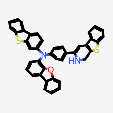 C1=C(c2ccc(N(c3ccc4c(c3)sc3ccccc34)c3cccc4c3oc3ccccc34)cc2)NCc2sc3ccccc3c21